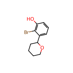 Oc1cccc(C2CCCCO2)c1Br